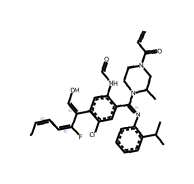 C=CC(=O)N1CCN(/C(=N/c2ccccc2C(C)C)c2cc(Cl)c(C(=C\O)/C(F)=C\C=C/C)cc2NC=O)C(C)C1